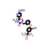 CCCc1cc(C(O)(C(F)(F)F)C(F)(F)F)ccc1Oc1cccc(CN2COC(C)(c3ccc(OC)nc3)NC2=O)c1